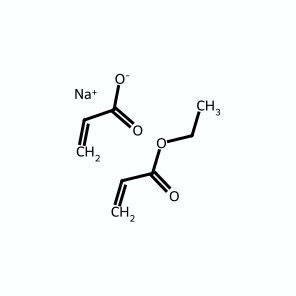 C=CC(=O)OCC.C=CC(=O)[O-].[Na+]